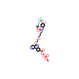 CCOC(=O)OCOC(=O)c1ccc2c(c1)nc(OCCOCCCCN(Cc1cc(F)c(OC(F)(F)F)c(F)c1)C(=O)OC(C)(C)C)c1ccncc12